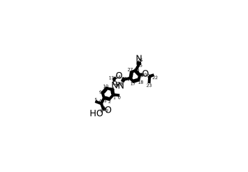 Cc1cc(C(C)C(=O)O)ccc1N1COC(c2ccc(OC(C)C)c(C#N)c2)=N1